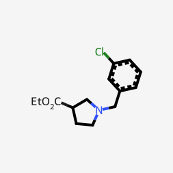 CCOC(=O)C1CCN(Cc2cccc(Cl)c2)C1